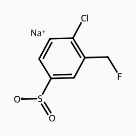 O=S([O-])c1ccc(Cl)c(CF)c1.[Na+]